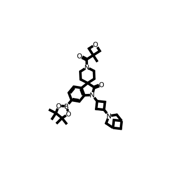 CC1(C(=O)N2CCC3(CC2)C(=O)N(C2CC(N4CC5CC(C5)C4)C2)c2cc(B4OC(C)(C)C(C)(C)O4)ccc23)COC1